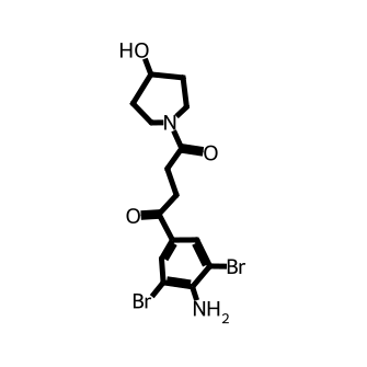 Nc1c(Br)cc(C(=O)CCC(=O)N2CCC(O)CC2)cc1Br